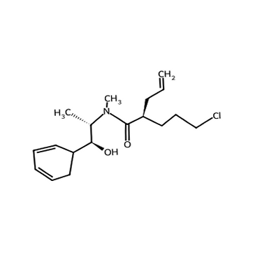 C=CC[C@@H](CCCCl)C(=O)N(C)[C@@H](C)[C@@H](O)C1C=CC=CC1